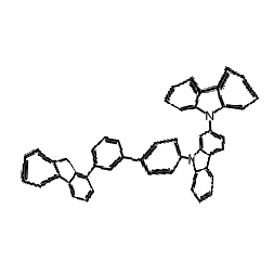 c1cc(-c2ccc(-n3c4ccccc4c4ccc(-n5c6ccccc6c6ccccc65)cc43)cc2)cc(-c2cccc3c2Cc2ccccc2-3)c1